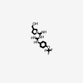 N=C(NC(=N)N1CCC(CO)C1)Nc1ccc(OC(F)(F)F)cc1